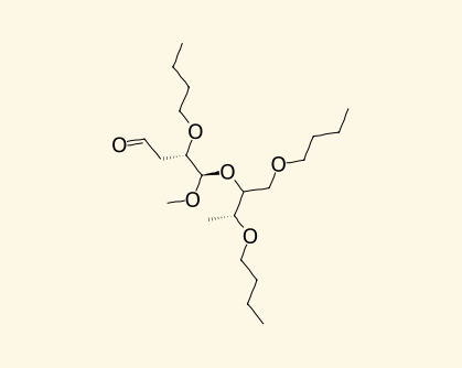 CCCCOCC(O[C@@H](OC)[C@H](CC=O)OCCCC)[C@@H](C)OCCCC